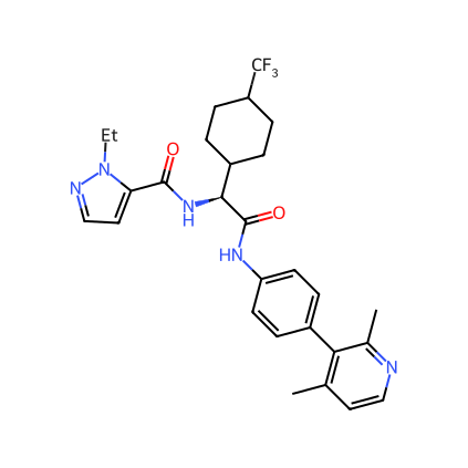 CCn1nccc1C(=O)N[C@H](C(=O)Nc1ccc(-c2c(C)ccnc2C)cc1)C1CCC(C(F)(F)F)CC1